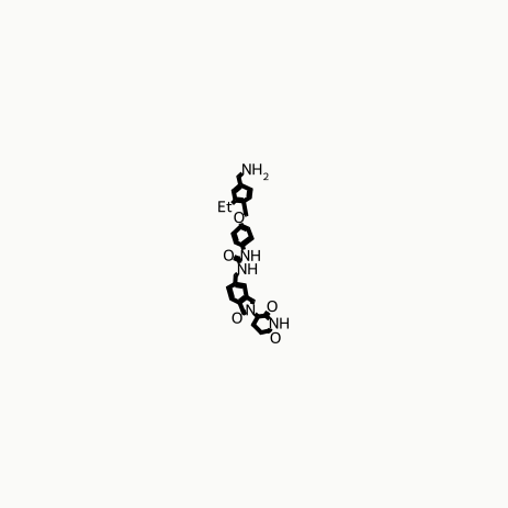 CCc1cc(CN)ccc1COc1ccc(NC(=O)NCc2ccc3c(c2)CN(C2CCC(=O)NC2=O)C3=O)cc1